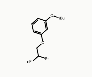 CCCC(CC)COc1cccc(O[C@H](C)CC)c1